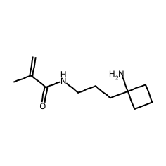 C=C(C)C(=O)NCCCC1(N)CCC1